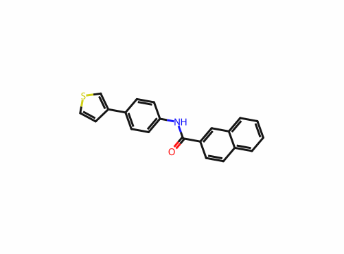 O=C(Nc1ccc(-c2ccsc2)cc1)c1ccc2ccccc2c1